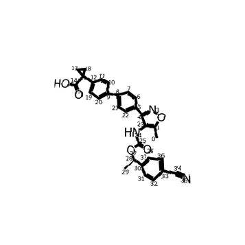 Cc1onc(-c2ccc(-c3ccc(C4(C(=O)O)CC4)cc3)cc2)c1NC(=O)O[C@H](C)c1ccc(C#N)cc1